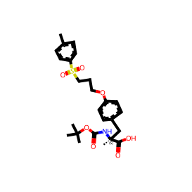 Cc1ccc(S(=O)(=O)CCCOc2ccc(C[C@](C)(NC(=O)OC(C)(C)C)C(=O)O)cc2)cc1